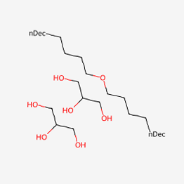 CCCCCCCCCCCCCCOCCCCCCCCCCCCCC.OCC(O)CO.OCC(O)CO